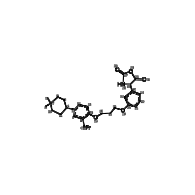 CCCc1cc(C2CCC(C)(C)CC2)ccc1OCCCOc1cccc(C2NC(=O)OC2=O)c1